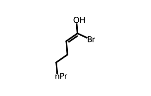 CCCCC/C=C(/O)Br